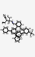 C=CC(C#N)C(C)(/C=C/c1cccc(-n2c3ccccc3c3cc(C(C)(C)C)ccc32)c1-c1nc(-c2ccccc2)nc(-c2ccccc2)n1)CC